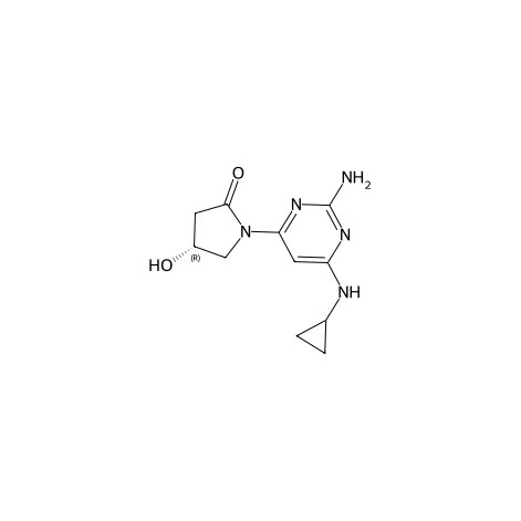 Nc1nc(NC2CC2)cc(N2C[C@H](O)CC2=O)n1